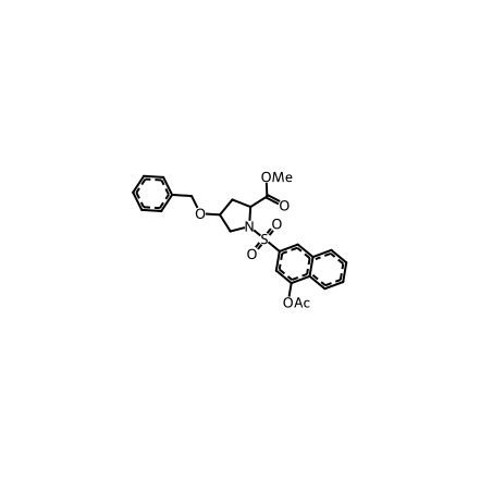 COC(=O)C1CC(OCc2ccccc2)CN1S(=O)(=O)c1cc(OC(C)=O)c2ccccc2c1